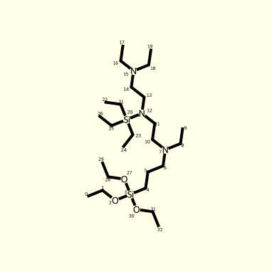 CCO[Si](CCCN(CC)CCN(CCN(CC)CC)[Si](CC)(CC)CC)(OCC)OCC